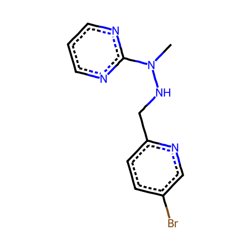 CN(NCc1ccc(Br)cn1)c1ncccn1